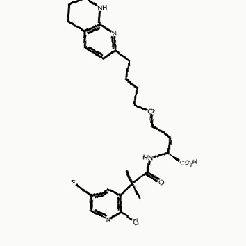 CC(C)(C(=O)N[C@@H](CCOCCCCc1ccc2c(n1)NCCC2)C(=O)O)c1cc(F)cnc1Cl